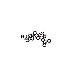 CC1(C)c2ccccc2-c2ccc(N(c3ccc(-c4ccc5c(c4)c4ccccc4n5-c4ccccc4)cc3)c3ccccc3-c3ccc4c(c3)oc3ccccc34)cc21